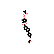 C=CC(=O)OCc1ccc(-c2ccc3cc(C(=O)Oc4ccc(OCOC(=O)C(=C)C)c(C)c4C)ccc3c2)cc1